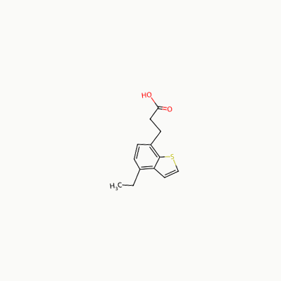 CCc1ccc(CCC(=O)O)c2sccc12